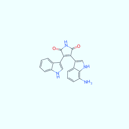 Nc1cccc2c(C3=C(c4c[nH]c5ccccc45)C(=O)NC3=O)c[nH]c12